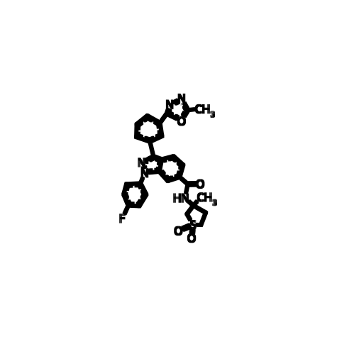 Cc1nnc(-c2cccc(-c3nn(-c4ccc(F)cc4)c4cc(C(=O)NC5(C)CCS(=O)(=O)C5)ccc34)c2)o1